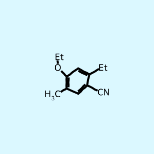 CCOc1cc(CC)c(C#N)cc1C